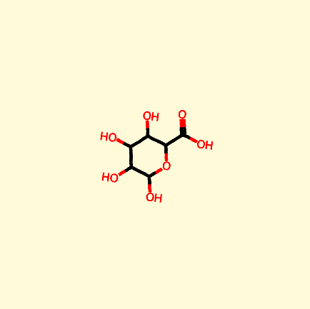 O=C(O)C1OC(O)C(O)C(O)C1O